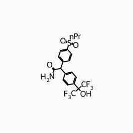 CCCS(=O)(=O)c1ccc(C(C(N)=O)c2ccc(C(O)(C(F)(F)F)C(F)(F)F)cc2)cc1